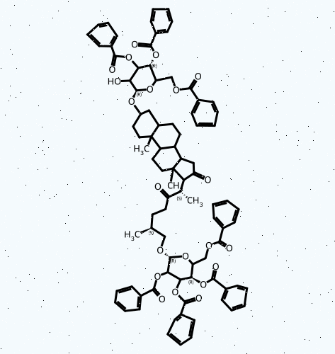 C[C@@H](CCC(=O)[C@@H](C)C1C(=O)CC2C3CCC4CC(O[C@@H]5OC(COC(=O)c6ccccc6)[C@@H](OC(=O)c6ccccc6)C(OC(=O)c6ccccc6)C5O)CCC4(C)C3CCC21C)CO[C@@H]1OC(COC(=O)c2ccccc2)[C@@H](OC(=O)c2ccccc2)C(OC(=O)c2ccccc2)C1OC(=O)c1ccccc1